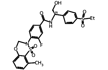 CCS(=O)(=O)c1ccc([C@H](CO)NC(=O)c2ccc(N3COc4cccc(C)c4S3(=O)=O)c(F)c2)cc1